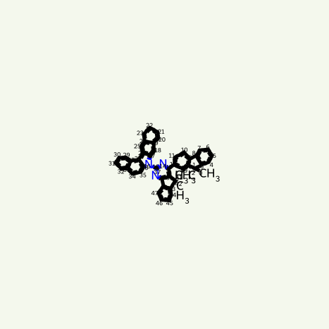 CC1(C)c2ccccc2-c2ccc(-c3nc(-n4c5cc6ccccc6cc5c5c6ccccc6ccc54)nc4c3C(C)(C)c3ccccc3-4)cc21